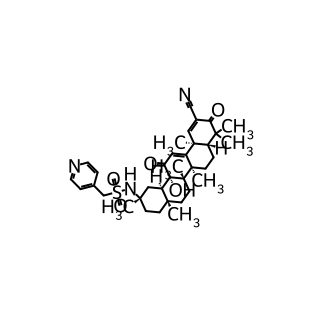 CC1(C)C(=O)C(C#N)=C[C@]2(C)C3=CC(=O)[C@]4(O)[C@@H]5C[C@@](C)(NS(=O)(=O)Cc6ccncc6)CC[C@@]5(C)CC[C@@]4(C)[C@]3(C)CC[C@@H]12